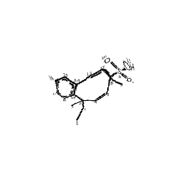 CCC1(C)/C=C\C(C)(S(=O)(=O)O)/C=C\c2ccccc21